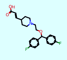 O=C(O)/C=C/C1CCN(CCOC(c2ccc(F)cc2)c2ccc(F)cc2)CC1